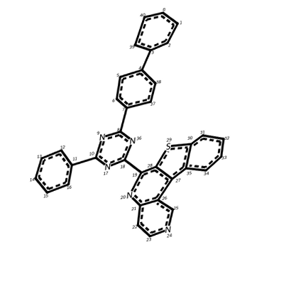 c1ccc(-c2ccc(-c3nc(-c4ccccc4)nc(-c4nc5ccncc5c5c4sc4ccccc45)n3)cc2)cc1